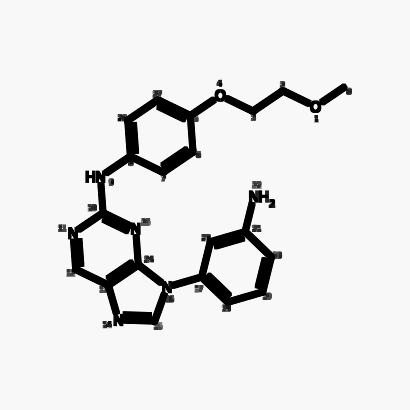 COCCOc1ccc(Nc2ncc3ncn(-c4cccc(N)c4)c3n2)cc1